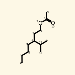 CCCCC(CCOC(C)=O)C(C)C